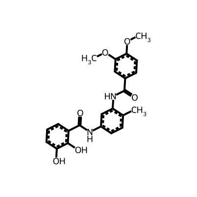 COc1ccc(C(=O)Nc2cc(NC(=O)c3cccc(O)c3O)ccc2C)cc1OC